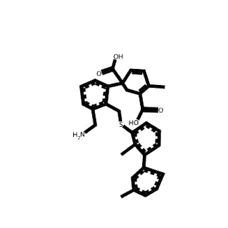 CC1=C(C(=O)O)CC(C(=O)O)(c2cccc(CN)c2CSc2cccc(-c3cccc(C)c3)c2C)C=C1